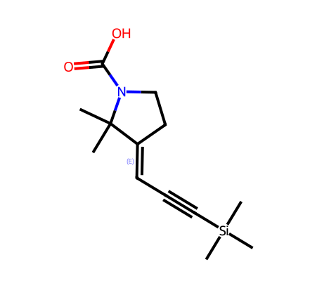 CC1(C)/C(=C/C#C[Si](C)(C)C)CCN1C(=O)O